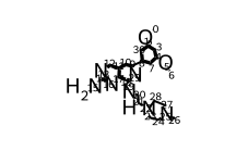 COc1cc(OC)cc(-c2cc3cnc(N)nc3c(NCCN3CCN(C)CC3)n2)c1